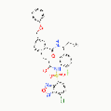 CC(C)CC(NC(=O)c1cc(COc2ccccc2)ccc1CCC(=O)NS(=O)(=O)c1ccc(Cl)c2nonc12)c1ccc(F)cc1